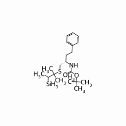 CC([SiH3])C(C)(C)SC[C@H](CCc1ccccc1)NC(=O)OC(C)(C)C